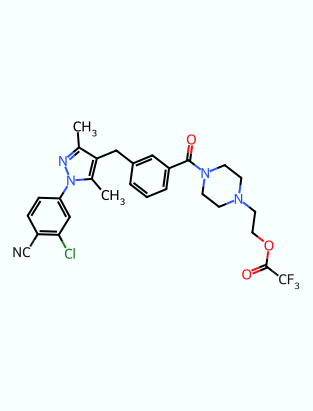 Cc1nn(-c2ccc(C#N)c(Cl)c2)c(C)c1Cc1cccc(C(=O)N2CCN(CCOC(=O)C(F)(F)F)CC2)c1